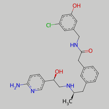 C[C@H](Cc1cccc(CC(=O)NCc2cc(O)cc(Cl)c2)c1)NC[C@H](O)c1ccc(N)nc1